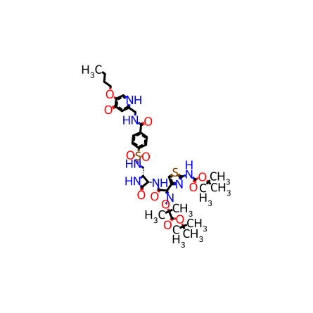 CCCCOc1c[nH]c(CNC(=O)c2ccc(S(=O)(=O)NC[C@H]3NC(=O)[C@H]3NC(=O)/C(=N\OC(C)(C)C(=O)OC(C)(C)C)c3csc(NC(=O)OC(C)(C)C)n3)cc2)cc1=O